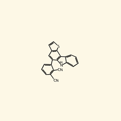 N#Cc1cccc(-c2cc3ccsc3c3c2[nH]c2ccccc23)c1C#N